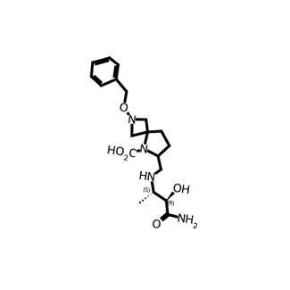 C[C@H](NCC1CCC2(CN(OCc3ccccc3)C2)N1C(=O)O)[C@@H](O)C(N)=O